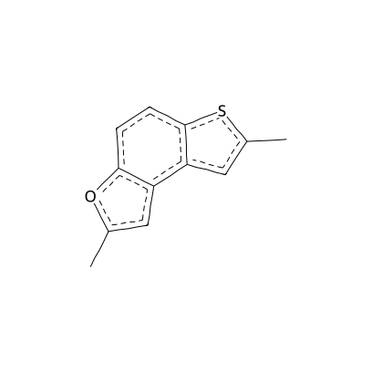 Cc1cc2c(ccc3sc(C)cc32)o1